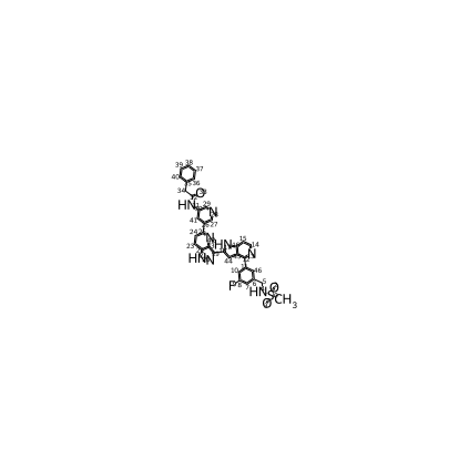 CS(=O)(=O)NCc1cc(F)cc(-c2nccc3[nH]c(-c4n[nH]c5ccc(-c6cncc(NC(=O)Cc7ccccc7)c6)nc45)cc23)c1